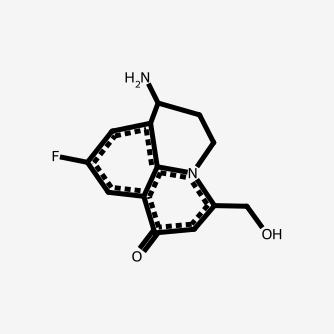 NC1CCn2c(CO)cc(=O)c3cc(F)cc1c32